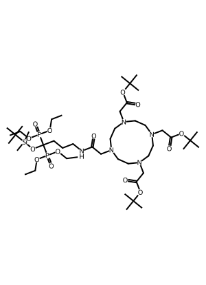 CCOP(=O)(OCC)C(CCCNC(=O)CN1CCN(CC(=O)OC(C)(C)C)CCN(CC(=O)OC(C)(C)C)CCN(CC(=O)OC(C)(C)C)CC1)(O[Si](C)(C)C(C)(C)C)P(=O)(OCC)OCC